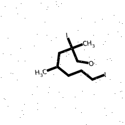 CC(CCCI)CC(C)(I)C[O]